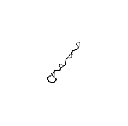 ClCCOCCOCCN1CCCC1